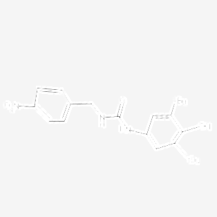 CC(C)(C)c1cc(NC(=O)NCc2ccc([N+](=O)[O-])cc2)cc(C(C)(C)C)c1O